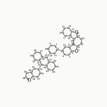 c1cc(-c2ccc3oc4ccc5oc6ccccc6c5c4c3c2)cc(-c2c3ccccc3c(-c3ccc4occc4c3)c3ccccc23)c1